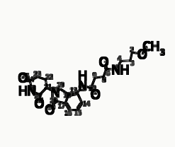 COCCCNC(=O)CCC(=O)Nc1cccc2c1CN(C1CCC(=O)NC1=O)C2=O